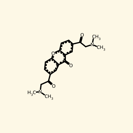 CN(C)CC(=O)c1ccc2oc3ccc(C(=O)CN(C)C)cc3c(=O)c2c1